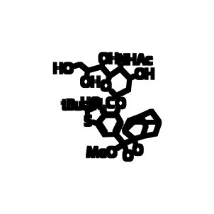 COC1(c2cc(OC3(C(=O)O)CC(O)C(NC(C)=O)C(C(O)C(O)CO)O3)c3nc(C(C)(C)C)sc3c2)OOC12C1CC3CC(C1)CC2C3